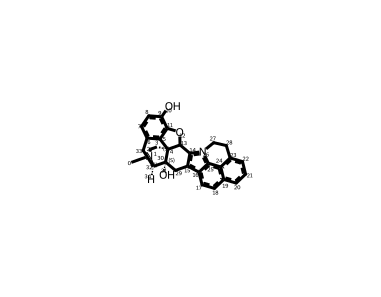 CN1CC[C@]23c4c5ccc(O)c4OC2c2c(c4ccc6cccc7c6c4n2CC7)C[C@@]3(O)[C@H]1C5